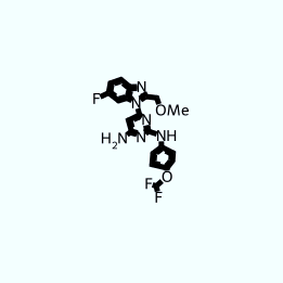 COCc1nc2ccc(F)cc2n1-c1cc(N)nc(Nc2ccc(OC(F)F)cc2)n1